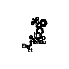 CCCCC(NS(=O)(=O)CCN(CC)CC)C(=O)N1CCC2(CC1)CN(S(C)(=O)=O)c1ccccc12